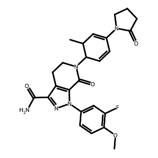 COc1ccc(-n2nc(C(N)=O)c3c2C(=O)N(C2C=CC(N4CCCC4=O)=CC2C)CC3)cc1F